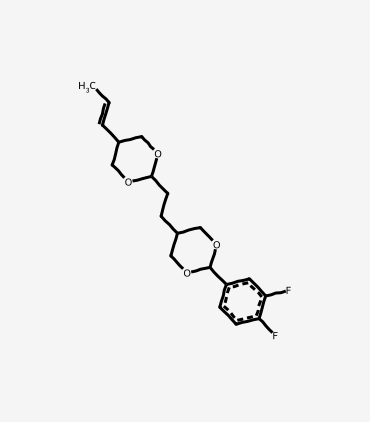 C/C=C/C1COC(CCC2COC(c3ccc(F)c(F)c3)OC2)OC1